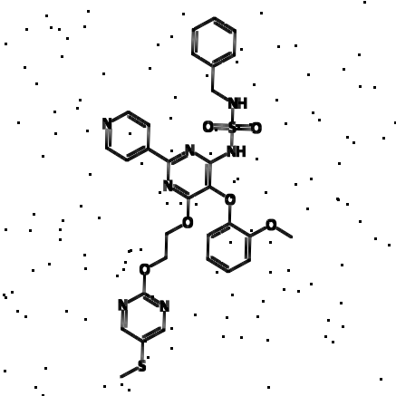 COc1ccccc1Oc1c(NS(=O)(=O)NCc2ccccc2)nc(-c2ccncc2)nc1OCCOc1ncc(SC)cn1